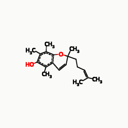 CC(C)=CCCC1(C)C=Cc2c(C)c(O)c(C)c(C)c2O1